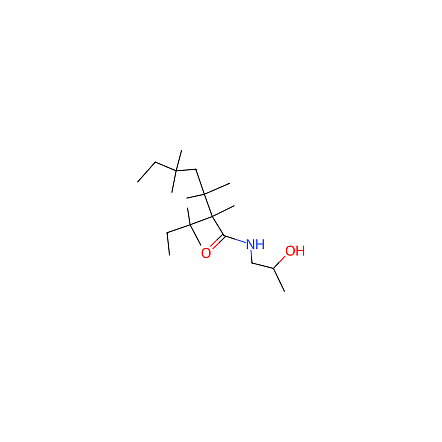 CCC(C)(C)CC(C)(C)C(C)(C(=O)NCC(C)O)C(C)(C)CC